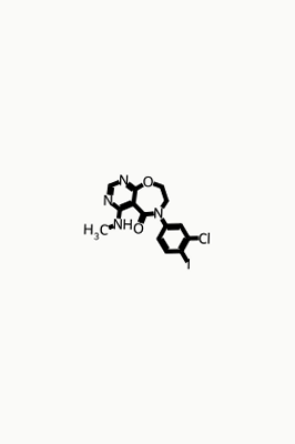 CNc1ncnc2c1C(=O)N(c1ccc(I)c(Cl)c1)CCO2